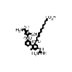 CSc1sc(C(=N)N)cc1S(=O)(=O)c1cccc(-c2c(C)cc(NC(=N)N)cc2NC(=O)CCCCCCCCCCC(=O)O)c1